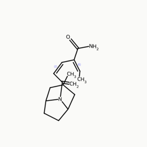 C=C(/C=C\C(=C/C)C(N)=O)N1C2CCC1CC(C)C2